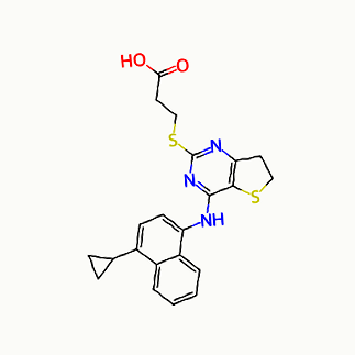 O=C(O)CCSc1nc2c(c(Nc3ccc(C4CC4)c4ccccc34)n1)SCC2